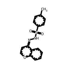 Cc1ccc(S(=O)(=O)N/N=c2/ccoc3ccccc23)cc1